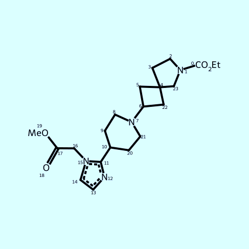 CCOC(=O)N1CCC2(CC(N3CCC(c4nccn4CC(=O)OC)CC3)C2)C1